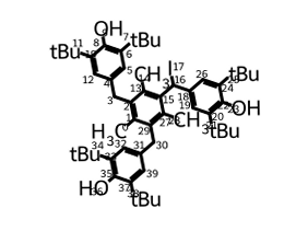 Cc1c(Cc2cc(C(C)(C)C)c(O)c(C(C)(C)C)c2)c(C)c(C(I)c2cc(C(C)(C)C)c(O)c(C(C)(C)C)c2)c(C)c1Cc1cc(C(C)(C)C)c(O)c(C(C)(C)C)c1